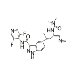 C=N/C=C(\C=C(/C)c1ccc2[nH]nc(C(=O)Nc3c(F)cncc3F)c2c1)NC(=O)N(C)C